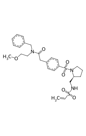 C=CS(=O)(=O)NC[C@@H]1CCCN1S(=O)(=O)c1ccc(CC(=O)N(CCOC)Cc2ccccc2)cc1